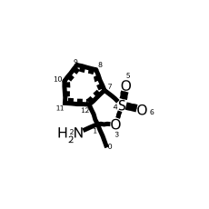 CC1(N)OS(=O)(=O)c2ccccc21